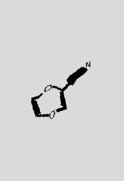 N#CC1=COC=CO1